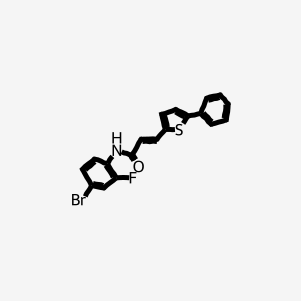 O=C(/C=C/c1ccc(-c2ccccc2)s1)Nc1ccc(Br)cc1F